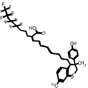 CC1(c2ccc(O)cc2)CSc2cc(O)ccc2C1CCCCCCCCC(CCCC(F)(F)C(F)(F)C(F)(F)C(F)(F)F)C(=O)O